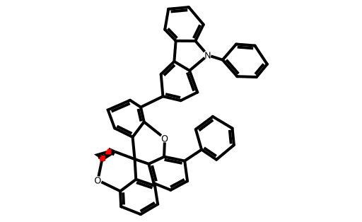 c1ccc(-c2cccc3c2Oc2c(-c4ccc5c(c4)c4ccccc4n5-c4ccccc4)cccc2C32c3ccccc3Oc3ccccc32)cc1